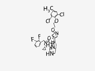 Cc1cc(Cl)c(OCCOc2ncc(C3=C(C(=O)N(Cc4cccc(F)c4F)C4CC4)[C@H]4CNCC(C3)N4)s2)c(Cl)c1